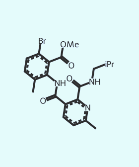 COC(=O)c1c(Br)ccc(C)c1NC(=O)c1ccc(C)nc1C(=O)NCC(C)C